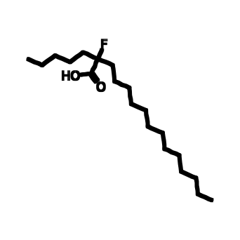 CCCCCCCCCCCCCC(F)(CCCCC)C(=O)O